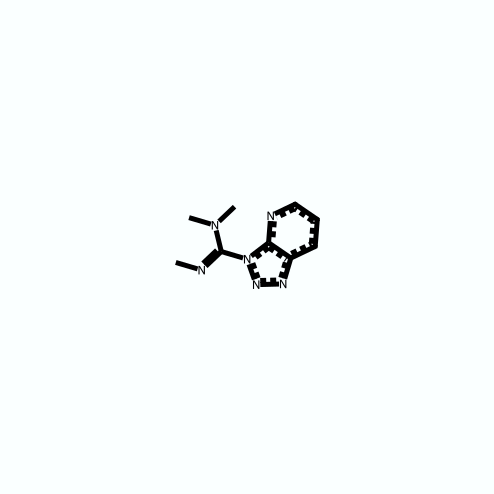 C/N=C(\N(C)C)n1nnc2cccnc21